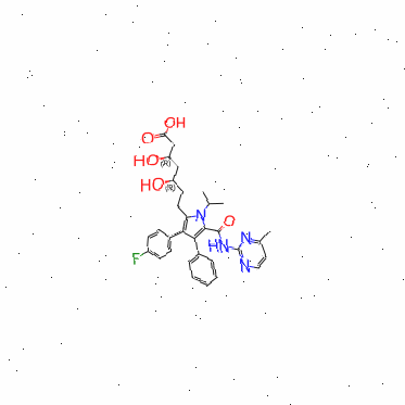 Cc1ccnc(NC(=O)c2c(-c3ccccc3)c(-c3ccc(F)cc3)c(CC[C@@H](O)C[C@@H](O)CC(=O)O)n2C(C)C)n1